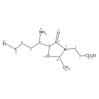 CCOC(=O)CCN1C(=O)C(C(N)CCSCC)OC1C